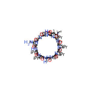 C/C=C/C[C@@H](C)[C@@H](O)[C@H]1C(=O)N[C@@H](CCC)C(=O)N(C)CC(=O)N(C)[C@@H](CCN)C(=O)N[C@H](C(C)C)C(=O)N(C)[C@H](CC(C)C)C(=O)N[C@H](C)C(=O)N[C@@H](C)C(=O)N(C)[C@@H](CC(C)C)C(=O)N(C)[C@@H](CC(C)C)C(=O)N(C)[C@@H](C(C)C)C(=O)N1C